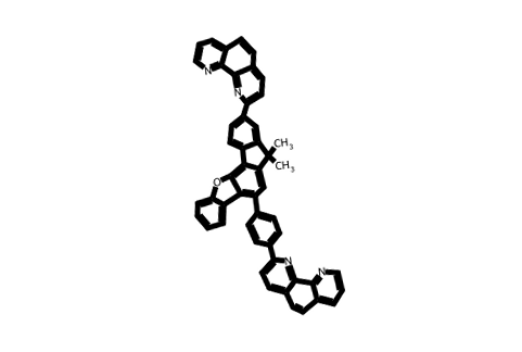 CC1(C)c2cc(-c3ccc4ccc5cccnc5c4n3)ccc2-c2c1cc(-c1ccc(-c3ccc4ccc5cccnc5c4n3)cc1)c1c2oc2ccccc21